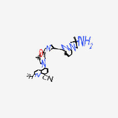 [2H]c1ccc2c(N3C[C@H](CN4CC(c5cccc(N6CC(C)(N)C6)n5)C4)O[C@H](C)C3)ccc(C#N)c2n1